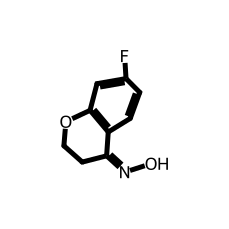 O/N=C1/CCOc2cc(F)ccc21